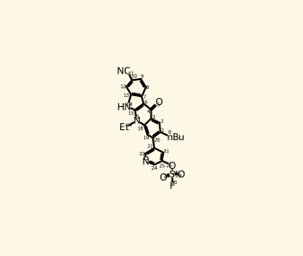 CCCCc1cc2c(=O)c3c4ccc(C#N)cc4[nH]c3n(CC)c2cc1-c1cncc(OS(=O)(=O)F)c1